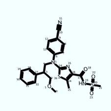 COCC(CN(c1ccc(C#N)cc1)c1nc(C(=O)NS(C)(=O)=O)c(C)s1)c1ccccc1